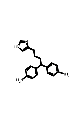 Nc1ccc(C(CCCc2c[nH]cn2)c2ccc(N)cc2)cc1